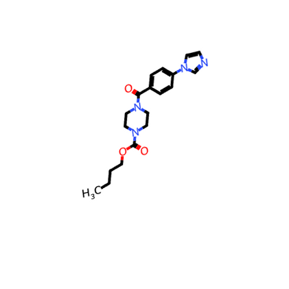 CCCCOC(=O)N1CCN(C(=O)c2ccc(-n3ccnc3)cc2)CC1